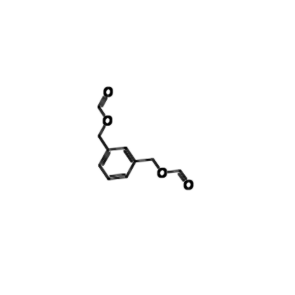 O=COCc1cccc(COC=O)c1